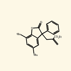 C=C(CC1(c2ccccc2)C(=O)Oc2c(C(C)(C)C)cc(C(C)(C)C)cc21)C(=O)OCC